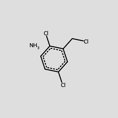 ClCc1cc(Cl)ccc1Cl.N